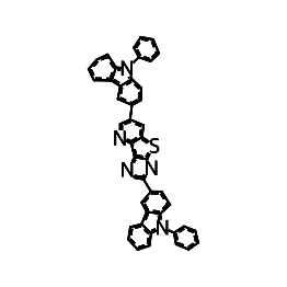 c1ccc(-n2c3ccccc3c3cc(-c4cnc5c(c4)sc4nc(-c6ccc7c(c6)c6ccccc6n7-c6ccccc6)cnc45)ccc32)cc1